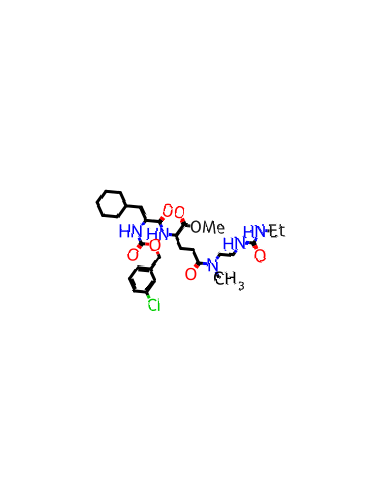 CCNC(=O)NCCN(C)C(=O)CCC(NC(=O)C(CC1CCCCC1)NC(=O)OCc1cccc(Cl)c1)C(=O)OC